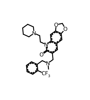 CN(Cc1ccccc1C(F)(F)F)Cc1cc2cc3c(cc2n(CCN2CCCCC2)c1=O)OCO3